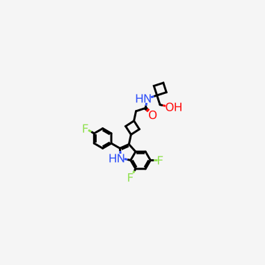 O=C(CC1CC(c2c(-c3ccc(F)cc3)[nH]c3c(F)cc(F)cc23)C1)NC1(CO)CCC1